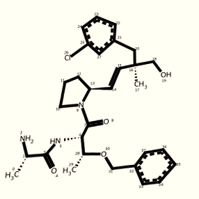 C[C@H](N)C(=O)N[C@H](C(=O)N1CCC[C@H]1/C=C/[C@](C)(CO)Cc1cccc(Cl)c1)[C@@H](C)OCc1ccccc1